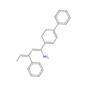 C/C=C(/C=C(\N)C1=CC=C(c2ccccc2)CC1)c1ccccc1